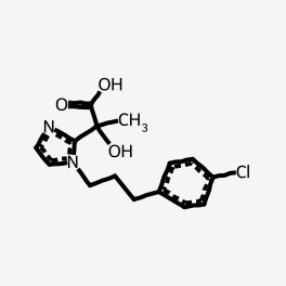 CC(O)(C(=O)O)c1nccn1CCCc1ccc(Cl)cc1